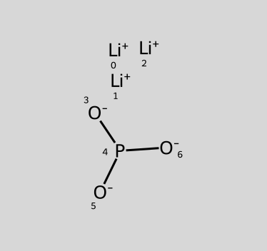 [Li+].[Li+].[Li+].[O-]P([O-])[O-]